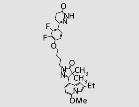 CCc1cc2c(C3=NN(CCCCOc4ccc(C5=NNC(=O)CC5)c(F)c4F)C(=O)C3(C)C)ccc(OC)n2c1